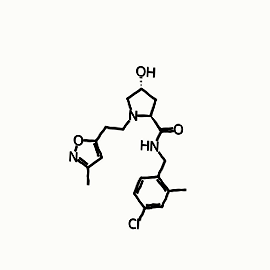 Cc1cc(CCN2C[C@H](O)C[C@H]2C(=O)NCc2ccc(Cl)cc2C)on1